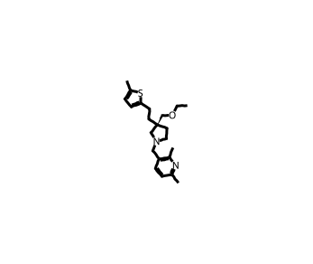 CCOC[C@@]1(CCc2ccc(C)s2)CCN(Cc2ccc(C)nc2C)C1